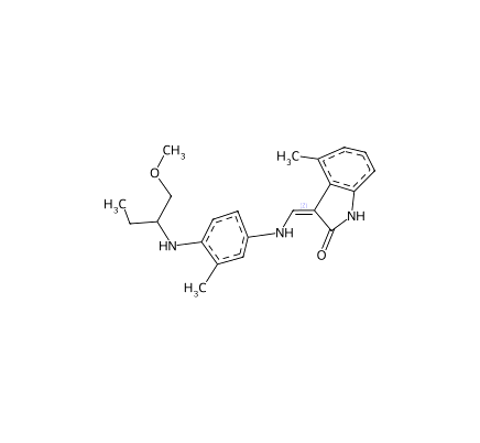 CCC(COC)Nc1ccc(N/C=C2\C(=O)Nc3cccc(C)c32)cc1C